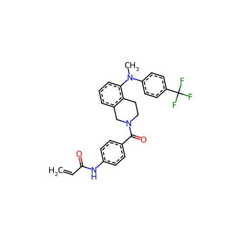 C=CC(=O)Nc1ccc(C(=O)N2CCc3c(cccc3N(C)c3ccc(C(F)(F)F)cc3)C2)cc1